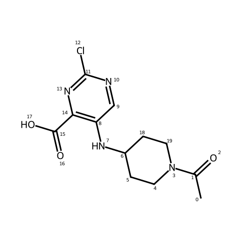 CC(=O)N1CCC(Nc2cnc(Cl)nc2C(=O)O)CC1